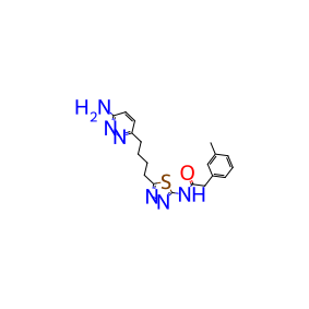 Cc1cccc(CC(=O)Nc2nnc(CCCCc3ccc(N)nn3)s2)c1